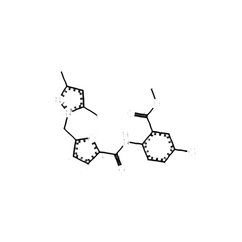 COC(=O)c1cc(Cl)ccc1NC(=O)c1ccc(Cn2nc(C)cc2C)o1